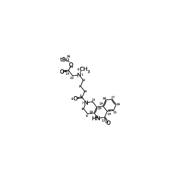 CN(CCCC(=O)N1CCc2[nH]c(=O)c3ccccc3c2C1)CC(=O)OC(C)(C)C